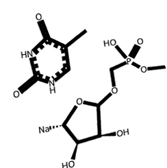 COP(=O)(O)COC1O[C@@H]([Na])[C@H](O)[C@@H]1O.Cc1c[nH]c(=O)[nH]c1=O